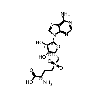 Nc1ncnc2c1ncn2[C@@H]1O[C@H](CS(=O)(=O)CC[C@H](N)C(=O)O)[C@@H](O)[C@H]1O